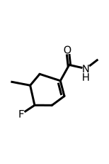 CNC(=O)C1=CCC(F)C(C)C1